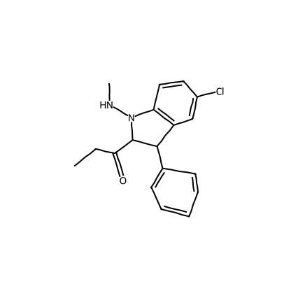 CCC(=O)C1C(c2ccccc2)c2cc(Cl)ccc2N1NC